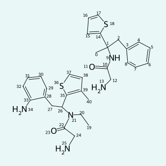 CC(Cc1ccccc1)(NC(=O)CN)c1cccs1.CCN(C(=O)CN)C(Cc1ccccc1N)c1sccc1C